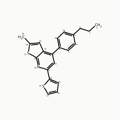 CCCc1ccc(-c2cc(-c3cccs3)nc3sc(C)cc23)cc1